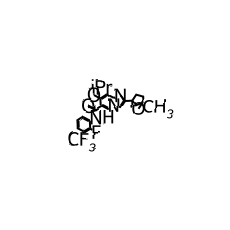 CC(C)Oc1cc2nc(C34CCC(C)(C3)OC4)cn2cc1C(=O)Nc1cccc(C(F)(F)F)c1F